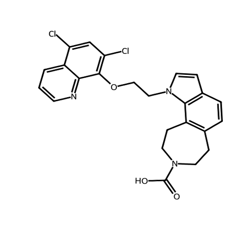 O=C(O)N1CCc2ccc3ccn(CCOc4c(Cl)cc(Cl)c5cccnc45)c3c2CC1